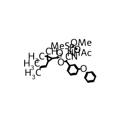 CC(C)=CC1C(C(=O)OC(C#N)c2cccc(Oc3ccccc3)c2)C1(C)C.COP(=O)(NC(C)=O)SC